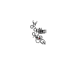 CCN(CC)C(=O)COC(=O)C[C@@](CCc1ccncc1)(c1cccnc1)N(C(C)=O)N1CCCCC1=O.Cl.Cl